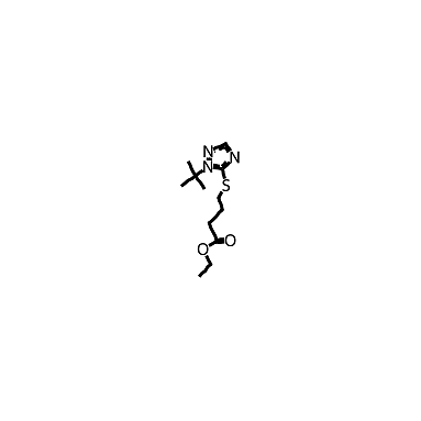 CCOC(=O)CCCSc1ncnn1C(C)(C)C